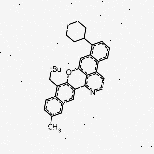 Cc1ccc2c(CC(C)(C)C)c3c(cc2c1)-c1nccc2c1c(cc1c(C4CCCCC4)cccc12)O3